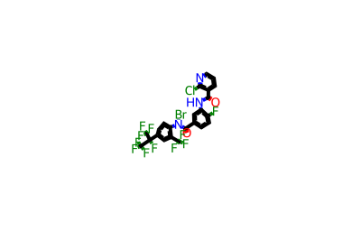 O=C(Nc1cc(C(=O)N(Br)c2ccc(C(F)(C(F)(F)F)C(F)(F)F)cc2C(F)(F)F)ccc1F)c1cccnc1Cl